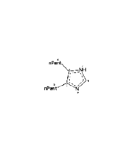 CCCCCc1nc[nH]c1CCCCC